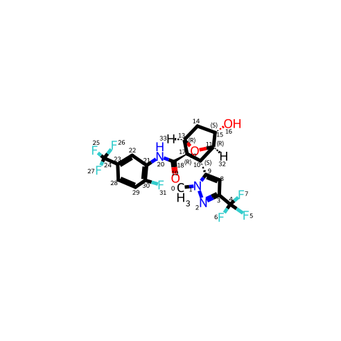 Cn1nc(C(F)(F)F)cc1[C@H]1[C@H]2O[C@H](C[C@@H]2O)[C@@H]1C(=O)Nc1cc(C(F)(F)F)ccc1F